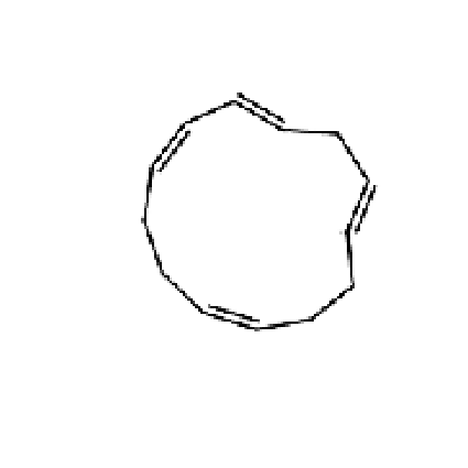 [C]1=C/C/C=C/C=C\CC/C=C\CC/1